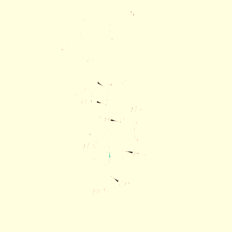 C[C@@]1(O)CC[C@@]2(F)[C@H](CC[C@H]3[C@@H]4CC[C@H](C(=O)COc5cc(C#N)ccc5F)[C@@]4(C)CC[C@@]32C)C1